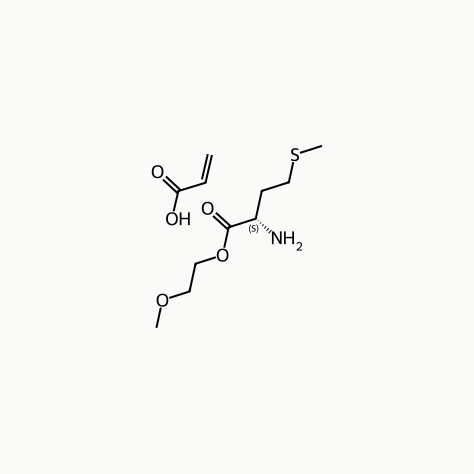 C=CC(=O)O.COCCOC(=O)[C@@H](N)CCSC